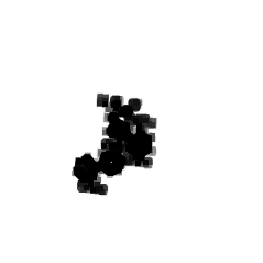 COc1cncc(-c2ccc(OC)c(S(=O)(=O)n3cc(CN(C)C(=O)OC(C)(C)C)cc3-c3ccccc3F)c2)c1